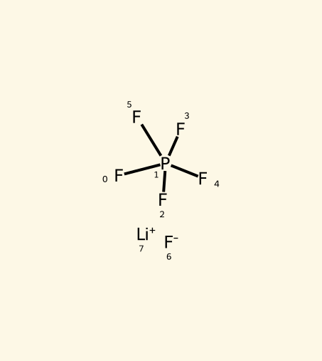 FP(F)(F)(F)F.[F-].[Li+]